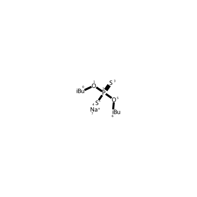 CCC(C)OP(=S)([S-])OC(C)CC.[Na+]